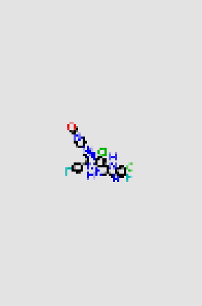 N#Cc1cnc2c(N[C@@H](c3ccc(F)cc3)c3cn(C4CCN(C5COC5)CC4)nn3)cc(Cl)cc2c1Nc1ccc(F)c(Cl)c1